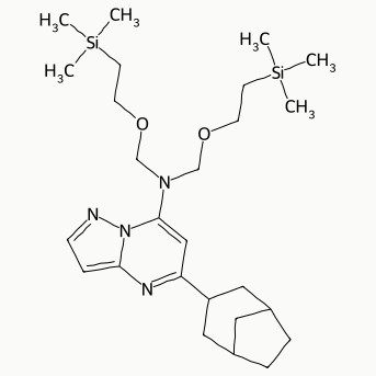 C[Si](C)(C)CCOCN(COCC[Si](C)(C)C)c1cc(C2CC3CCC(C3)C2)nc2ccnn12